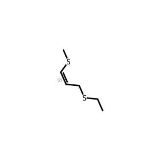 CCSC/C=C\SC